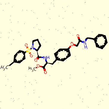 COC(=O)[C@H](Cc1ccc(OCC(=O)NCc2ccccc2)cc1)NC(=O)[C@@H]1CCCN1S(=O)(=O)c1ccc(C)cc1